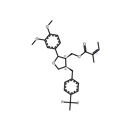 C/C=C(/C)C(=O)OC[C@@H]1C(c2ccc(OC)c(OC)c2)OC[C@@H]1Cc1ccc(C(C)(F)F)cc1